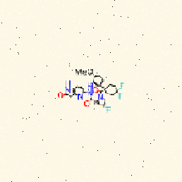 COc1ccc(C2(C(=O)N3C[C@H](F)C[C@@H]3C(=O)Nc3ccc4c(n3)CC(=O)N4)CCC(F)(F)CC2)cc1